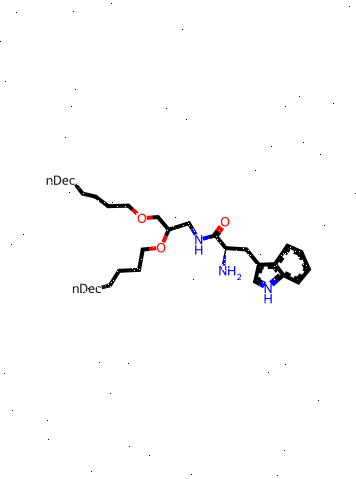 CCCCCCCCCCCCCCOCC(CNC(=O)[C@H](N)Cc1c[nH]c2ccccc12)OCCCCCCCCCCCCCC